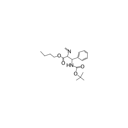 C=NC(C(=O)OCCCC)C(NC(=O)OC(C)(C)C)c1ccccc1